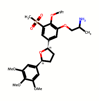 CCCOc1c(OCC(C)N)cc([C@@H]2CC[C@@H](c3cc(OC)c(OC)c(OC)c3)O2)cc1S(C)(=O)=O